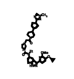 CCN(C(=O)[C@@H]1CCN(CC(=O)N2CC=C(c3ccc(-c4ncn(C)n4)cc3)CC2)C1)c1ccc2[nH]nc(-c3ccc(OC4CC4)c(OC)n3)c2c1